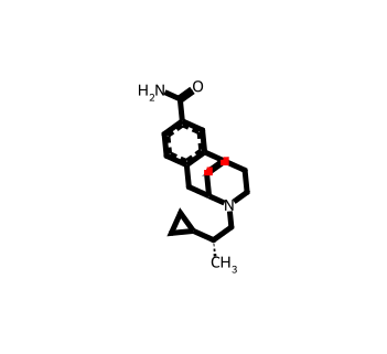 C[C@@H](CN1CCC23CCCCC2C1Cc1ccc(C(N)=O)cc13)C1CC1